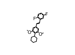 COc1cc(C=Cc2cc(F)ccc2F)cc(OC)c1C1CCCCC1